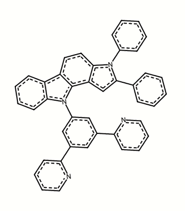 c1ccc(-c2cc3c(ccc4c5ccccc5n(-c5cc(-c6ccccn6)cc(-c6ccccn6)c5)c43)n2-c2ccccc2)cc1